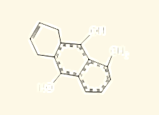 Cc1cccc2c(O)c3c(c(O)c12)CC=CC3